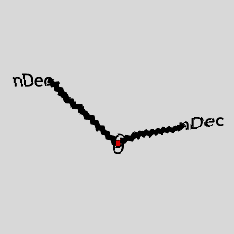 CCCCCCCCCCCCCCCCCCCCCCCCCCCCCCCCCCC(=O)OCCCCCCCCCCCCCCCCCCCCCCCCCCCCC